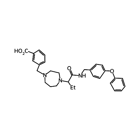 CCC(C(=O)NCc1ccc(Oc2ccccc2)cc1)N1CCCN(Cc2cccc(C(=O)O)c2)CC1